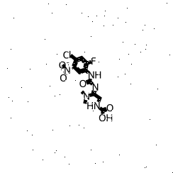 CN(C)C(CNC(=O)O)=NC(=O)Nc1cc([N+](=O)[O-])c(Cl)cc1F